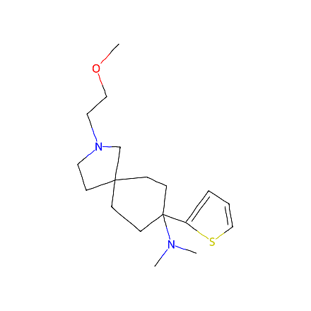 COCCN1CCC2(CCC(c3cccs3)(N(C)C)CC2)C1